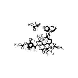 COC(=O)[C@@]1(CCN2CCOC[C@@]23CCNC3)C[C@H](OC(C)=O)[C@@H](NC(C)=O)[C@H]([C@H](OC(C)=O)[C@@H](CNC(=O)c2cc(C)c(OC(C)=O)c(C)c2)OC(C)=O)O1.O=C(O)C(F)(F)F